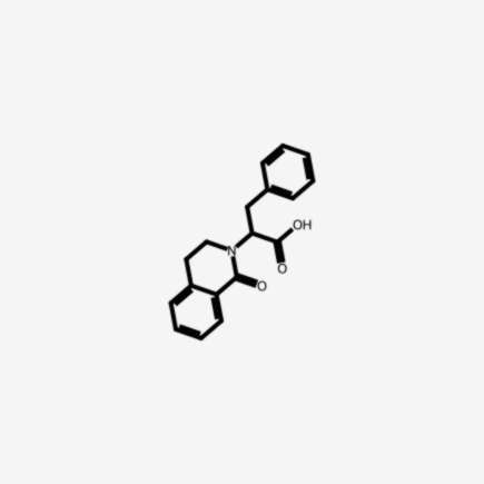 O=C(O)C(Cc1ccccc1)N1CCc2ccccc2C1=O